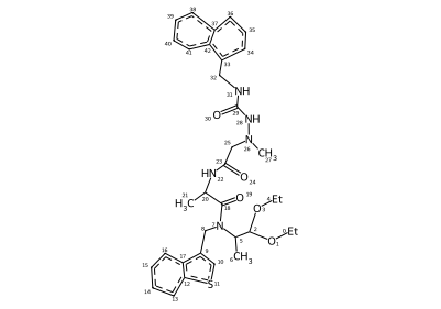 CCOC(OCC)C(C)N(Cc1csc2ccccc12)C(=O)C(C)NC(=O)CN(C)NC(=O)NCc1cccc2ccccc12